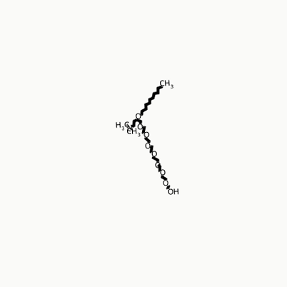 CCCCCCCCCCCCOC(CCN(C)C)COCCOCCOCCOCCOCCOCCOCCO